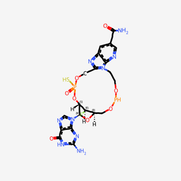 NC(=O)c1cnc2c(c1)nc1n2CCOPOC[C@H]2O[C@@H](n3cnc4c(=O)[nH]c(N)nc43)[C@H](OP(=O)(S)OC1)[C@@H]2F